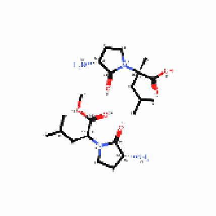 CC(C)C[C@@](C)(C(=O)O)N1CC[C@@H](N)C1=O.COC(=O)[C@H](CC(C)C)N1CC[C@@H](N)C1=O